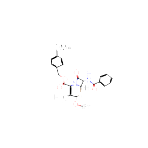 COc1ccc(COC(=O)C2=C(C)[C@@H](OC(C)C)S[C@@H]3[C@@H](NC(=O)c4ccccc4)C(=O)N23)cc1